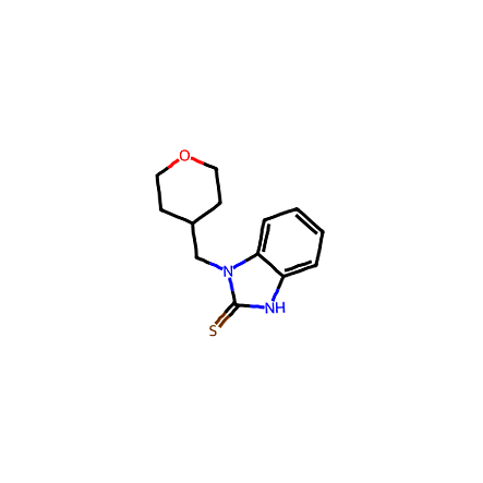 S=c1[nH]c2ccccc2n1CC1CCOCC1